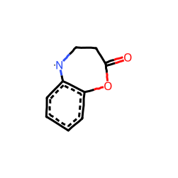 O=C1CC[N]c2ccccc2O1